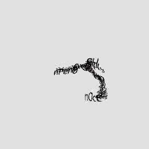 CCCCC/C=C\CC=CCCCCCCCC(=O)OCCCCOc1cc(CN(C)C)cc(OCCCCOC(=O)CCCCCCC/C=C\CCCCCCCC)c1